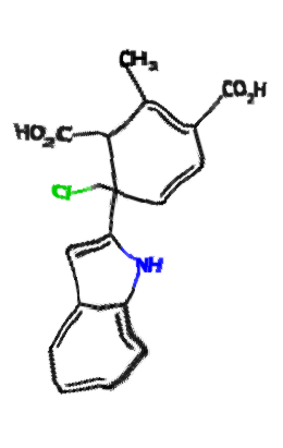 CC1=C(C(=O)O)C=CC(Cl)(c2cc3ccccc3[nH]2)C1C(=O)O